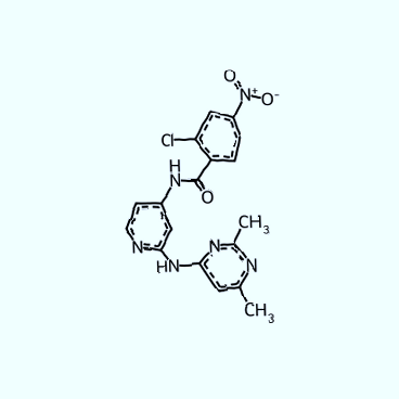 Cc1cc(Nc2cc(NC(=O)c3ccc([N+](=O)[O-])cc3Cl)ccn2)nc(C)n1